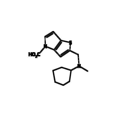 CN(Cc1cc2c(ccn2C(=O)O)s1)C1CCCCC1